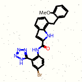 COc1ccccc1Cc1cccc2cc(C(=O)Nc3ccc(Br)cc3-c3nnn[nH]3)[nH]c12